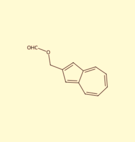 O=COCc1cc2cccccc-2c1